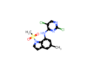 Cc1cc(Nc2nc(Cl)ncc2Cl)c2c(ccn2S(C)(=O)=O)c1